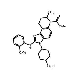 COC(=O)N1c2ccc3c(nc(Nc4ccccc4OC)n3C3CCC(C(=O)O)CC3)c2CCC1C